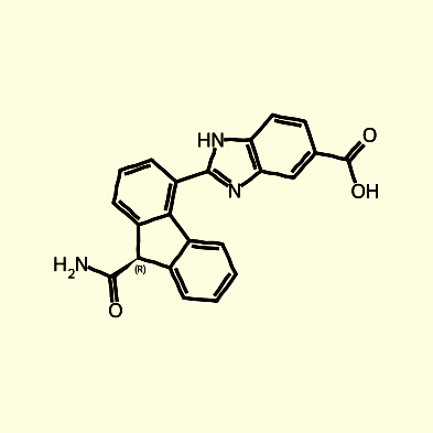 NC(=O)[C@@H]1c2ccccc2-c2c(-c3nc4cc(C(=O)O)ccc4[nH]3)cccc21